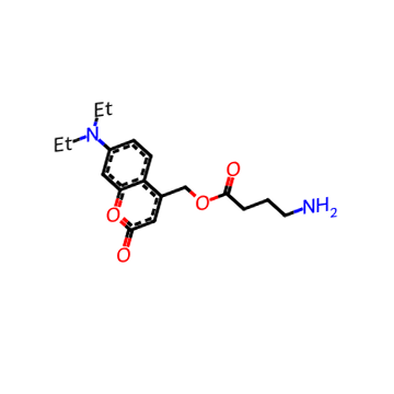 CCN(CC)c1ccc2c(COC(=O)CCCN)cc(=O)oc2c1